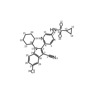 N#Cc1c(-c2ccc(NS(=O)(=O)C3CC3)cn2)n(C2CCCCC2)c2ccc(Cl)cc12